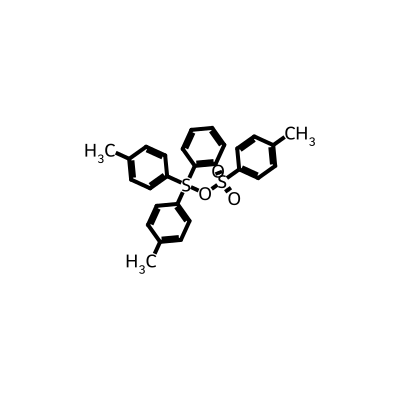 Cc1ccc(S(OS(=O)(=O)c2ccc(C)cc2)(c2ccccc2)c2ccc(C)cc2)cc1